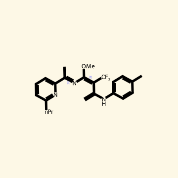 C=C(Nc1ccc(C)cc1)/C(=C(\N=C(/C)c1cccc(CCC)n1)OC)C(F)(F)F